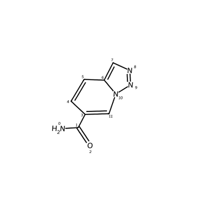 NC(=O)c1ccc2cnnn2c1